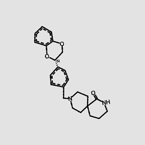 O=C1NCCCC12CCN(Cc1ccc([C@H]3COc4ccccc4O3)cc1)CC2